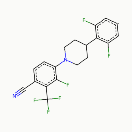 N#Cc1ccc(N2CCC(c3c(F)c[c]cc3F)CC2)c(F)c1C(F)(F)F